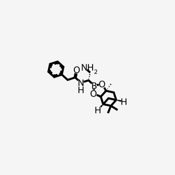 CC1(C)[C@@H]2C[C@H]1C1OB([C@@H](CN)NC(=O)Cc3ccccc3)O[C@@]1(C)C2